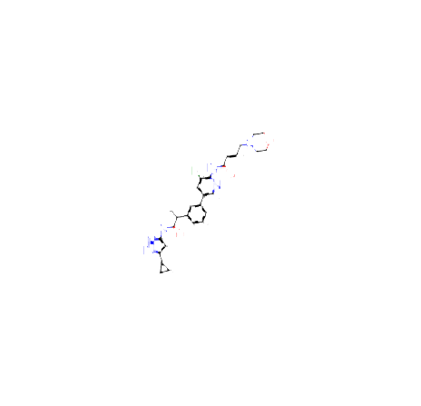 CC(C(=O)Nc1cc(C2CC2)[nH]n1)c1cccc(-c2cnc(NC(=O)C=CCN3CCOCC3)c(F)c2)c1